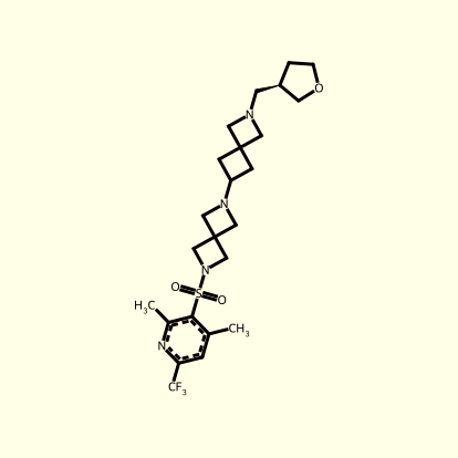 Cc1cc(C(F)(F)F)nc(C)c1S(=O)(=O)N1CC2(CN(C3CC4(C3)CN(C[C@H]3CCOC3)C4)C2)C1